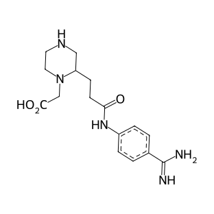 N=C(N)c1ccc(NC(=O)CCC2CNCCN2CC(=O)O)cc1